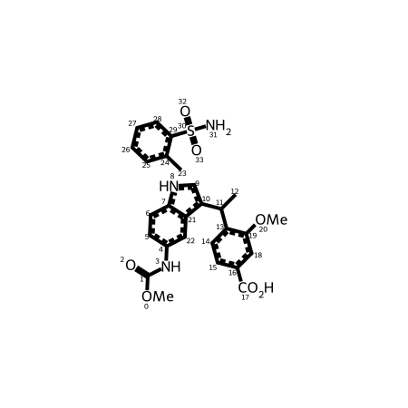 COC(=O)Nc1ccc2[nH]cc(C(C)c3ccc(C(=O)O)cc3OC)c2c1.Cc1ccccc1S(N)(=O)=O